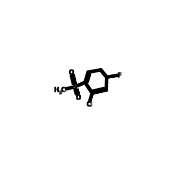 CS(=O)(=O)C1=CCC(F)C=C1Cl